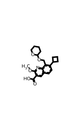 COc1nc2c(COC3CCCCO3)c(C3CCC3)ccc2cc1C(=O)O